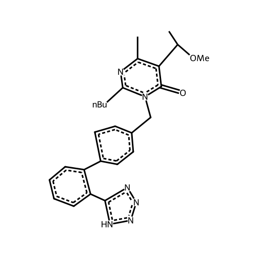 CCCCc1nc(C)c(C(C)OC)c(=O)n1Cc1ccc(-c2ccccc2-c2nnn[nH]2)cc1